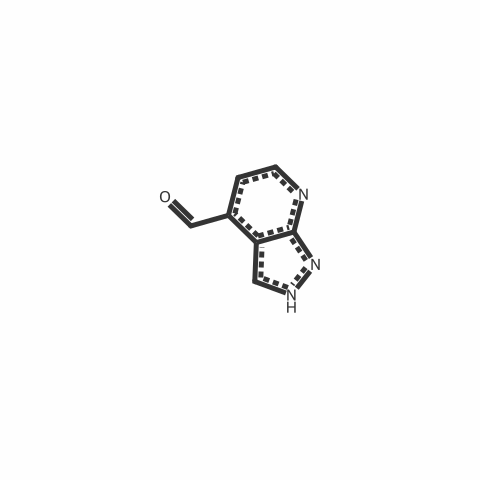 O=Cc1ccnc2n[nH]cc12